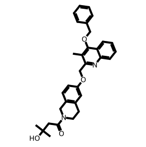 Cc1c(COc2ccc3c(c2)CCN(C(=O)CC(C)(C)O)C3)nc2ccccc2c1OCc1ccccc1